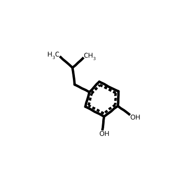 CC(C)Cc1ccc(O)c(O)c1